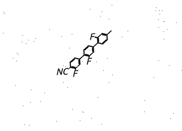 Cc1ccc(-c2ccc(-c3ccc(C#N)c(F)c3)c(F)c2)c(F)c1